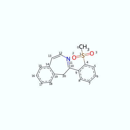 CS(=O)(=O)c1ccccc1C1=NC=Cc2ccccc2C1